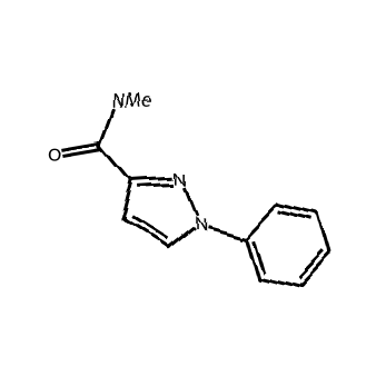 CNC(=O)c1ccn(-c2ccccc2)n1